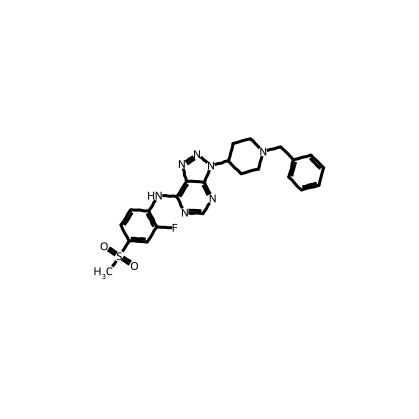 CS(=O)(=O)c1ccc(Nc2ncnc3c2nnn3C2CCN(Cc3ccccc3)CC2)c(F)c1